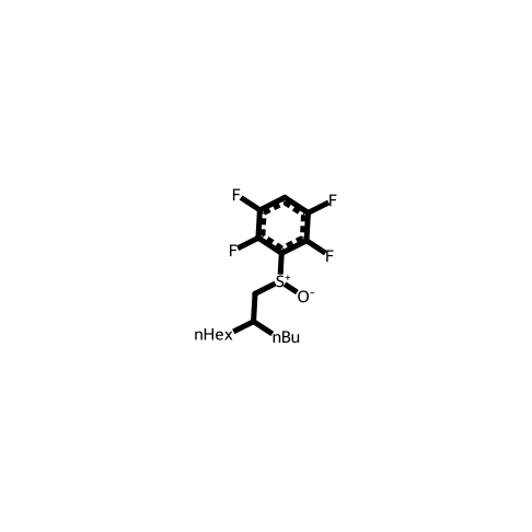 CCCCCCC(CCCC)C[S+]([O-])c1c(F)c(F)cc(F)c1F